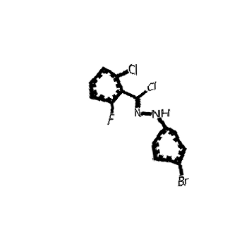 Fc1cccc(Cl)c1C(Cl)=NNc1ccc(Br)cc1